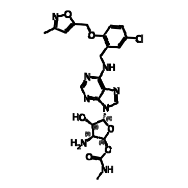 CNC(=O)O[C@@H]1O[C@@H](n2cnc3c(NCc4cc(Cl)ccc4OCc4cc(C)no4)ncnc32)[C@H](O)[C@@H]1N